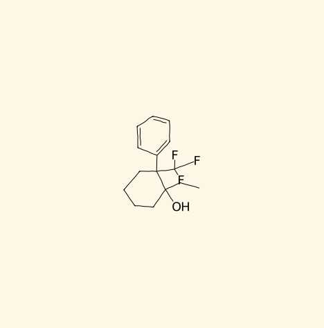 CCC1(O)CCCCC1(c1ccccc1)C(F)(F)F